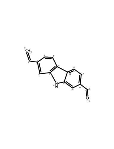 C=Cc1ccc2c(c1)[nH]c1cc(C=O)ccc12